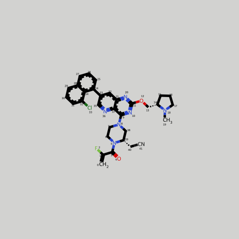 C=C(F)C(=O)N1CCN(c2nc(OC[C@@H]3CCCN3C)nc3cc(-c4cccc5cccc(Cl)c45)cnc23)C[C@@H]1CC#N